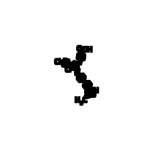 CCCS(=O)(=O)Nc1ccc(-c2ccc(OCc3nc(-c4ccc(Cl)cc4Cl)cn3Cc3ccc(C(=O)O)cc3)cc2)cc1